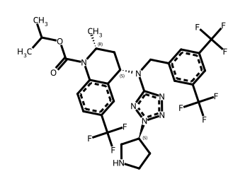 CC(C)OC(=O)N1c2ccc(C(F)(F)F)cc2[C@@H](N(Cc2cc(C(F)(F)F)cc(C(F)(F)F)c2)c2nnn([C@H]3CCNC3)n2)C[C@H]1C